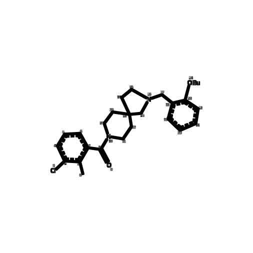 Cc1c(Cl)cccc1C(=O)N1CCC2(CCN(Cc3ccccc3OCC(C)C)C2)CC1